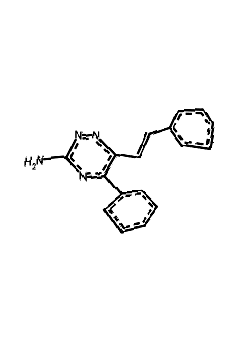 Nc1nnc(C=Cc2ccccc2)c(-c2ccccc2)n1